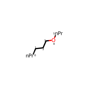 [CH2]CCCCCOC[CH]C